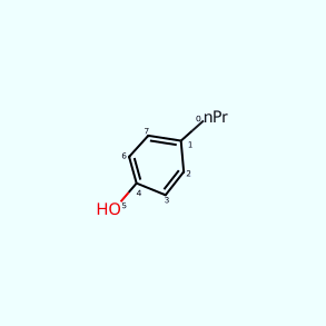 [CH]CCc1ccc(O)cc1